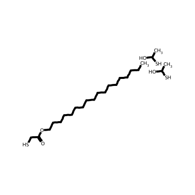 CC(O)S.CC(O)S.CCCCCCCCCCCCCCCCCCOC(=O)CS